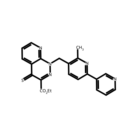 CCOC(=O)c1nn(Cc2ccc(-c3cccnc3)nc2C)c2ncccc2c1=S